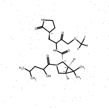 CC(C)CC(O)C(=O)N1C[C@H]2[C@@H]([C@H]1C(=O)NC(C[C@@H]1CCNC1=O)C(=O)COC(F)(F)F)C2(C)C